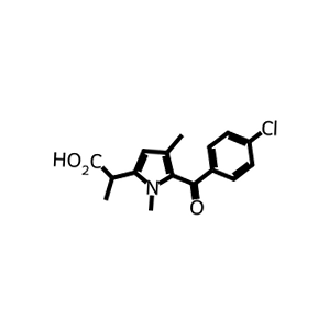 Cc1cc(C(C)C(=O)O)n(C)c1C(=O)c1ccc(Cl)cc1